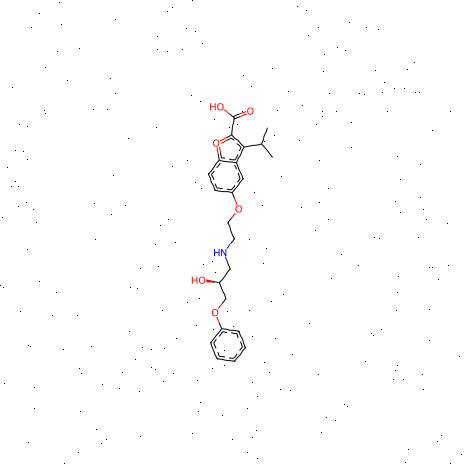 CC(C)c1c(C(=O)O)oc2ccc(OCCNC[C@H](O)COc3ccccc3)cc12